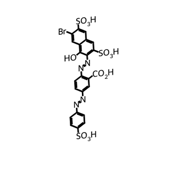 O=C(O)c1cc(/N=N/c2ccc(S(=O)(=O)O)cc2)ccc1/N=N/c1c(S(=O)(=O)O)cc2cc(S(=O)(=O)O)c(Br)cc2c1O